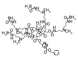 BC(=O)NCCCN(C)CCCNC(=O)OCC(C)(COC(=O)NCCCN(C)CCCNC(B)=O)C(=O)OCC(C)(COC(=O)C(C)(COC(=O)NCCCN(C)CCCNC(B)=O)COC(=O)NCCCN(C)CCCNC(B)=O)C(=O)OCc1cn(C(=O)OCc2ccccc2)nn1